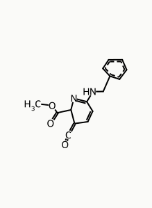 COC(=O)C1N=C(NCc2ccccc2)C=CC1=C=O